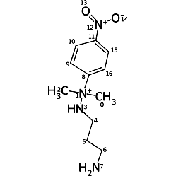 C[N+](C)(NCCCN)c1ccc([N+](=O)[O-])cc1